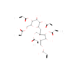 C=CC(=O)OCC1OC(CC2(COC(=O)C=C)OC(COC(O)C=C)C(O)C2OC(=O)C=C)C(OC(=O)C=C)C(O)C1OC(=O)C=C